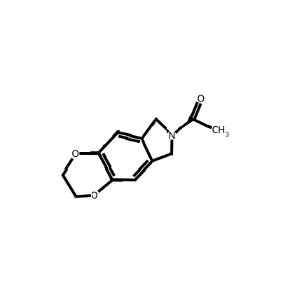 CC(=O)N1Cc2cc3c(cc2C1)OCCO3